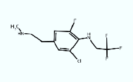 CNCCc1cc(F)c(NCC(F)(F)F)c(Cl)c1